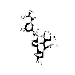 C=C(OC)/C(=C(\CC)OC)n1c(NS(=O)(=O)[C@H]2C[C@@H](O)CN(C(=O)N(C)C)C2)nnc1-c1ccc(C)o1